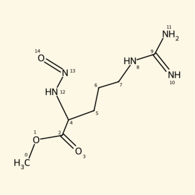 COC(=O)C(CCCNC(=N)N)NN=O